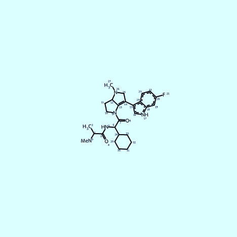 CNC(C)C(=O)NC(C(=O)N1CCC2C1=C(c1c[nH]c3cc(F)ccc13)CN2C)C1CCCCC1